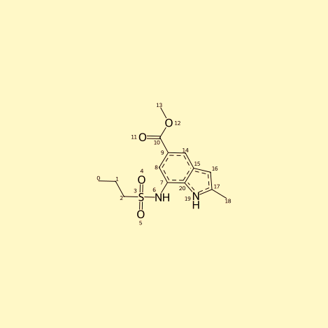 CCCS(=O)(=O)Nc1cc(C(=O)OC)cc2cc(C)[nH]c12